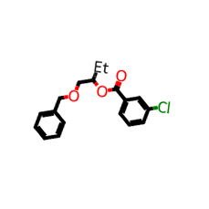 CCC(COCc1ccccc1)OC(=O)c1cccc(Cl)c1